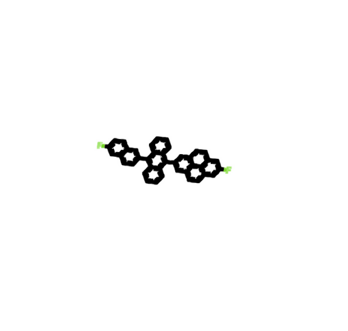 Fc1ccc2cc(-c3c4ccccc4c(-c4cc5ccc6cc(F)cc7ccc(c4)c5c67)c4ccccc34)ccc2c1